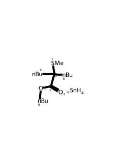 CCCCOC(=O)C(CCCC)(CCCC)SC.[SnH4]